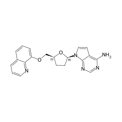 Nc1ncnc2c1ccn2[C@H]1CC[C@@H](COc2cccc3cccnc23)O1